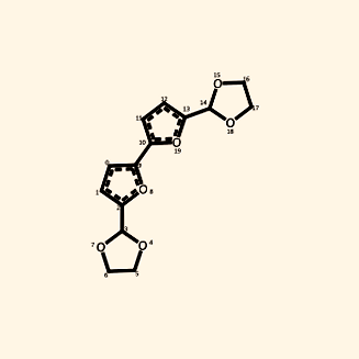 c1cc(C2OCCO2)oc1-c1ccc(C2OCCO2)o1